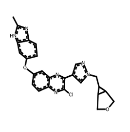 Cc1nc2ccc(Oc3ccc4nc(Cl)c(-c5cnn(CC6C7COCC76)c5)nc4c3)cc2[nH]1